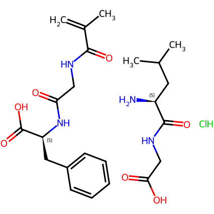 C=C(C)C(=O)NCC(=O)N[C@@H](Cc1ccccc1)C(=O)O.CC(C)C[C@H](N)C(=O)NCC(=O)O.Cl